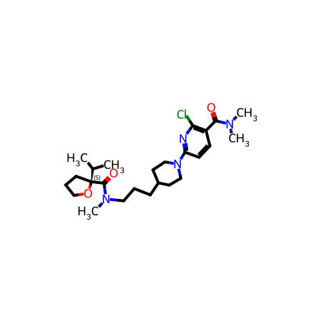 CC(C)[C@]1(C(=O)N(C)CCCC2CCN(c3ccc(C(=O)N(C)C)c(Cl)n3)CC2)CCCO1